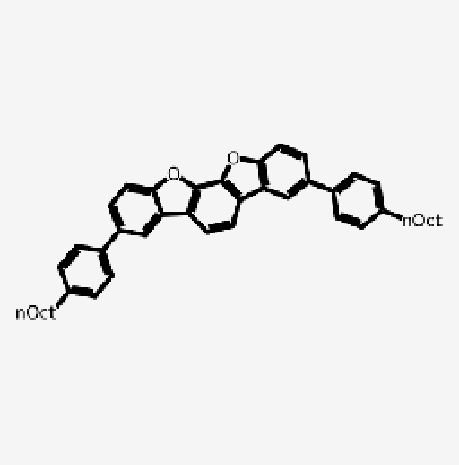 CCCCCCCCc1ccc(-c2ccc3oc4c(ccc5c6cc(-c7ccc(CCCCCCCC)cc7)ccc6oc54)c3c2)cc1